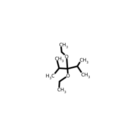 CCOC(OCC)(C(C)C)C(C)C